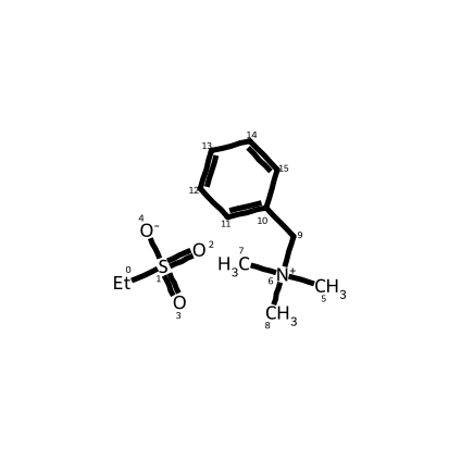 CCS(=O)(=O)[O-].C[N+](C)(C)Cc1ccccc1